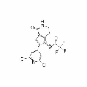 O=C1NCCc2c1cc(-c1cc(Cl)nc(Cl)c1)n2OC(=O)C(F)(F)F